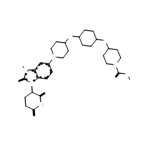 Cn1c(=O)n(C2CCC(=O)NC2=O)c2ccc(N3CCC(OC4CCC(OC5CCN(C(=O)OC(C)(C)C)CC5)CC4)CC3)cc21